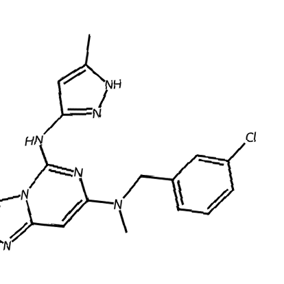 Cc1cc(Nc2nc(N(C)Cc3cccc(Cl)c3)cc3nccn23)n[nH]1